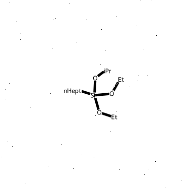 CCCCCCC[Si](OCC)(OCC)OC(C)C